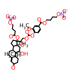 COc1cc(C(=O)OCCCCO[N+](=O)[O-])ccc1OC(=O)OCC(=O)[C@@]1(OC(=O)CCCO[N+](=O)[O-])CCC2C3CCC4=CC(=O)CC[C@]4(C)[C@H]3[C@@H](O)C[C@@]21C